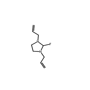 C=CCN1CCN(CC=C)C1F